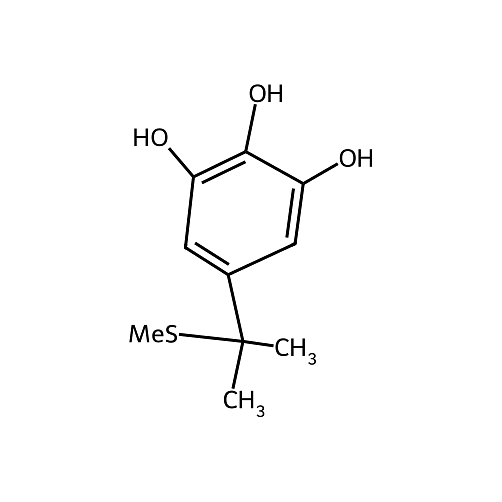 CSC(C)(C)c1cc(O)c(O)c(O)c1